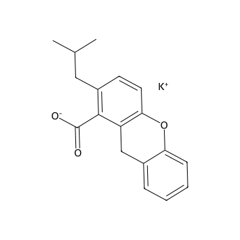 CC(C)Cc1ccc2c(c1C(=O)[O-])Cc1ccccc1O2.[K+]